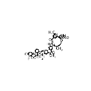 CN/C1=C(\C=N)c2cc(cc(C)n2)C(=O)/N=C2\Nc3ccc(C(=O)N(C)C4CCN(CCc5cccc6c5C(C)(C)C(=O)N6C5CCC(=O)NC5=O)CC4)cc3N2C[C@H](C)CCCO1